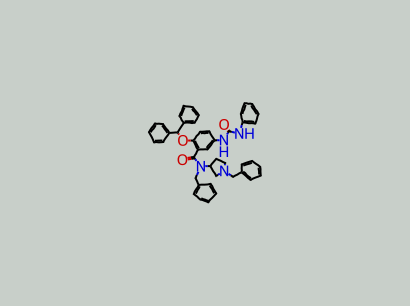 O=C(Nc1ccccc1)Nc1ccc(OC(c2ccccc2)c2ccccc2)c(C(=O)N(Cc2ccccc2)C2CCN(Cc3ccccc3)C2)c1